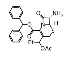 CCC(OC(C)=O)C1=C(C(=O)OC(c2ccccc2)c2ccccc2)N2C(=O)[C@H](N)[C@H]2SC1